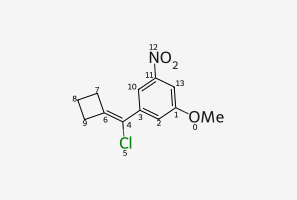 COc1cc(C(Cl)=C2CCC2)cc([N+](=O)[O-])c1